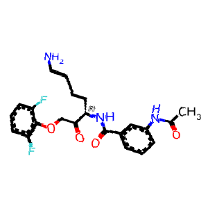 CC(=O)Nc1cccc(C(=O)N[C@H](CCCCN)C(=O)COc2c(F)cccc2F)c1